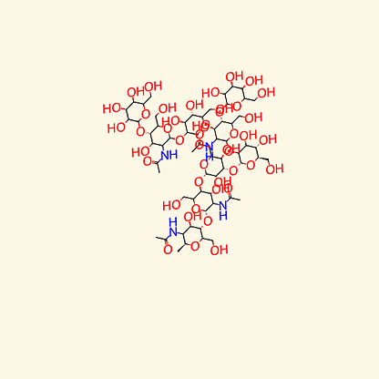 CC(=O)NC1C(O)[C@H](O[C@@H]2OC(CO)[C@H](O)[C@H](O)C2O)C(CO)O[C@H]1OC1[C@@H](OCC2O[C@@H](O[C@@H]3C(CO)O[C@@H](O[C@@H]4C(CO)O[C@@H](C)C(NC(C)=O)[C@H]4O)C(NC(C)=O)[C@H]3O)C(O)[C@@H](O[C@H]3O[C@H](CO)[C@@H](O)C(O)C3O[C@@H]3OC(CO)[C@@H](O[C@@H]4OC(CO)[C@H](O)[C@H](O)C4O)[C@H](O)C3NC(C)=O)[C@@H]2O)OC(CO)[C@@H](O)[C@@H]1O